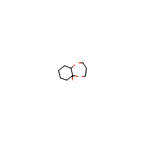 OC12CCCCC1OCCCO2